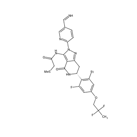 CCc1cc(OCC(C)(F)F)cc(F)c1[C@H]1Cc2nn(-c3ccc(C=N)cn3)c(NC(=O)CSC)c2C(=O)N1